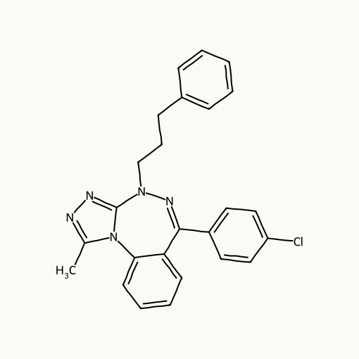 Cc1nnc2n1-c1ccccc1C(c1ccc(Cl)cc1)=NN2CCCc1ccccc1